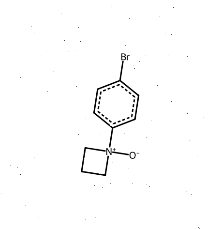 [O-][N+]1(c2ccc(Br)cc2)CCC1